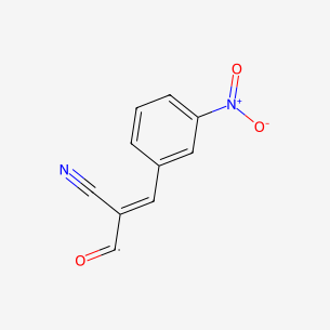 N#C/C([C]=O)=C\c1cccc([N+](=O)[O-])c1